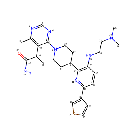 Cc1ncnc(N2CCC(c3nc(-c4ccsc4)ccc3NCCN(C)C)CC2)c1C(C)C(N)=O